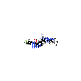 C[C@@H](Nc1ncc2c(-c3ccn4ncc(C(=O)NCC5CC(F)(F)C5)c4c3)c[nH]c2n1)C(F)(F)F